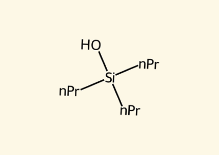 CCC[Si](O)(CCC)CCC